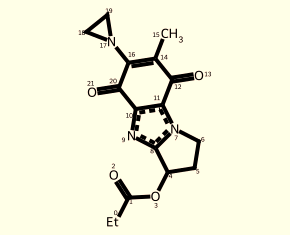 CCC(=O)OC1CCn2c1nc1c2C(=O)C(C)=C(N2CC2)C1=O